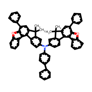 CC1(C)c2cc(N(c3ccc(-c4ccccc4)cc3)c3ccc4c(c3)C(C)(C)c3cc(-c5ccccc5)c5oc6ccccc6c5c3-4)ccc2-c2c1cc(-c1ccccc1)c1oc3ccccc3c21